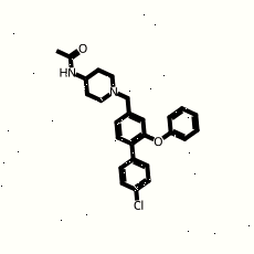 CC(=O)NC1CCN(Cc2ccc(-c3ccc(Cl)cc3)c(Oc3ccccc3)c2)CC1